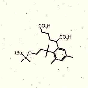 Cc1cc(C)c(C(C)(C)CCO[Si](C)(C)C(C)(C)C)c(C(CCCC(=O)O)C(=O)O)c1